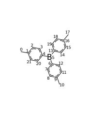 Cc1ccc(B(c2ccc(C)cc2)c2ccc(C)cc2)cc1